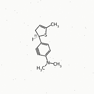 CC1=CC[C@](I)(c2c#cc(N(C)C)cc2)S1